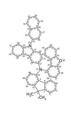 CC1(C)c2ccccc2-c2c(N(c3ccc4c(c3)c3ccccc3n4-c3ccc4ccccc4c3)c3cccc4oc5ccccc5c34)cccc21